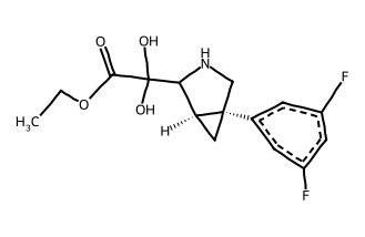 CCOC(=O)C(O)(O)C1NC[C@@]2(c3cc(F)cc(F)c3)C[C@@H]12